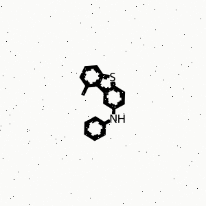 Cc1cccc2sc3ccc(Nc4ccccc4)cc3c12